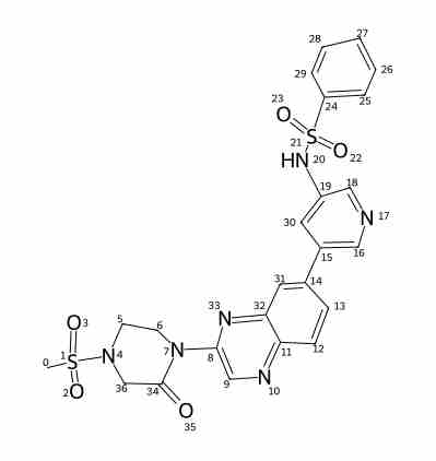 CS(=O)(=O)N1CCN(c2cnc3ccc(-c4cncc(NS(=O)(=O)c5ccccc5)c4)cc3n2)C(=O)C1